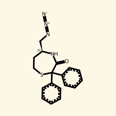 [N-]=[N+]=NC[C@@H]1CCSC(c2ccccc2)(c2ccccc2)C(=O)N1